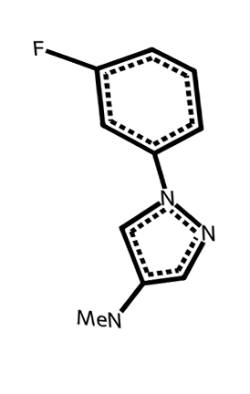 CNc1cnn(-c2cccc(F)c2)c1